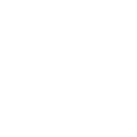 Cc1ccc2c(=O)cc(CF)oc2c1